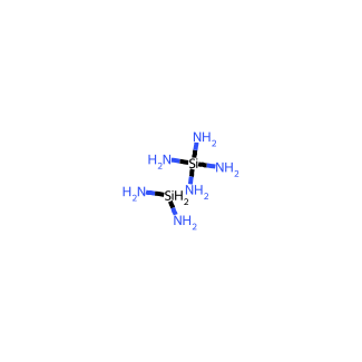 N[SiH2]N.N[Si](N)(N)N